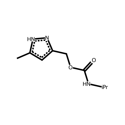 Cc1cc(COC(=O)NC(C)C)n[nH]1